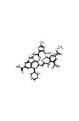 CCc1nc(C)sc1C(=O)Nc1nc2cc(C(=O)O)cc(CC3COCCN3)c2n1CC(=O)/C=C/Nc1c(SC)cc(C(=O)OC)cc1[N+](=O)[O-]